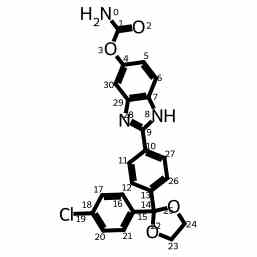 NC(=O)Oc1ccc2[nH]c(-c3ccc(C4(c5ccc(Cl)cc5)OCCO4)cc3)nc2c1